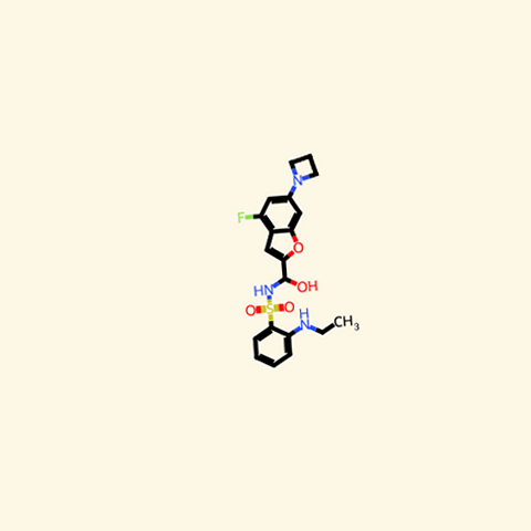 CCNc1ccccc1S(=O)(=O)NC(O)c1cc2c(F)cc(N3CCC3)cc2o1